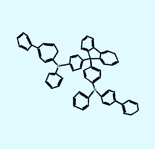 C1=CCC=C2C(=C1)C(c1ccc(N(C3=CC=C(c4ccccc4)C=CC3)c3ccccc3)cc1)(c1ccc(N(c3ccccc3)c3ccc(C4=CCCC=C4)cc3)cc1)c1ccccc12